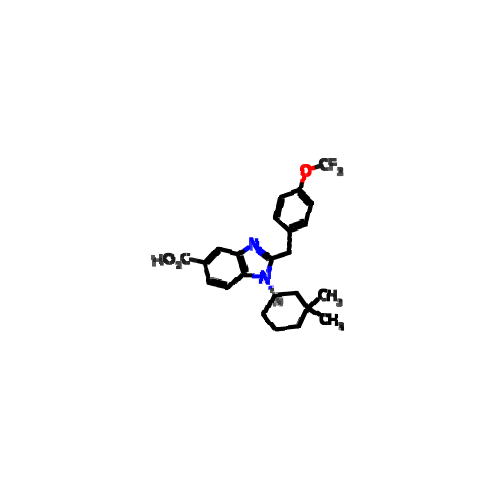 CC1(C)CCC[C@H](n2c(Cc3ccc(OC(F)(F)F)cc3)nc3cc(C(=O)O)ccc32)C1